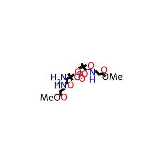 COC(=O)CCNC(=O)[C@H](N)C(C)(C)COP1(=O)OCC(C)(C)[C@H](C(=O)NCCC(=O)OC)O1